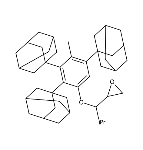 Cc1c(C23CC4CC(CC(C4)C2)C3)cc(OC(C(C)C)C2CO2)c(C23CC4CC(CC(C4)C2)C3)c1C12CC3CC(CC(C3)C1)C2